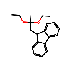 [CH2]C(CC1c2ccccc2-c2ccccc21)(OCC)OCC